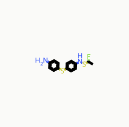 CC(F)SNc1ccc(Sc2ccc(N)cc2)cc1